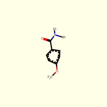 CCN(C(=O)c1ccc(OC(F)(F)F)cc1)C(C)C